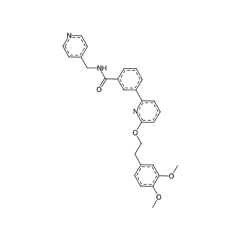 COc1ccc(CCOc2cccc(-c3cccc(C(=O)NCc4ccncc4)c3)n2)cc1OC